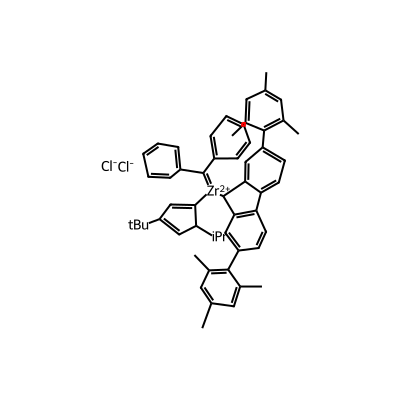 Cc1cc(C)c(-c2ccc3c(c2)[CH]([Zr+2]([C]2=CC(C(C)(C)C)=CC2C(C)C)=[C](c2ccccc2)c2ccccc2)c2cc(-c4c(C)cc(C)cc4C)ccc2-3)c(C)c1.[Cl-].[Cl-]